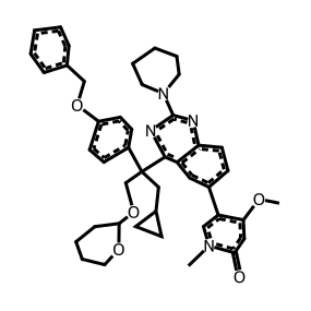 COc1cc(=O)n(C)cc1-c1ccc2nc(N3CCCCC3)nc(C(COC3CCCCO3)(CC3CC3)c3ccc(OCc4ccccc4)cc3)c2c1